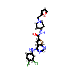 O=C(NC1CCN(Cc2ccco2)CC1)c1cc2c(Nc3ccc(F)c(Cl)c3)ncnc2s1